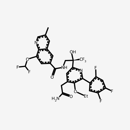 CCOc1c(CC(N)=O)cc([C@@](O)(CNC(=O)c2cc(OC(F)F)c3ncc(C)cc3c2)C(F)(F)F)nc1-c1cc(F)c(F)cc1F